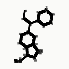 C/C=C(\c1cccnc1)c1ccc2c(OC)n[nH]c2c1